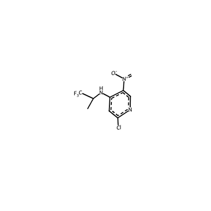 C=[N+]([O-])c1cnc(Cl)cc1NC(C)C(F)(F)F